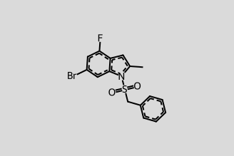 Cc1cc2c(F)cc(Br)cc2n1S(=O)(=O)Cc1ccccc1